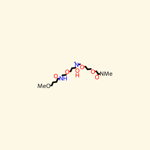 CNC(=O)COCCCOCN(C)C(O)CCOCCNC(=O)CCCOC